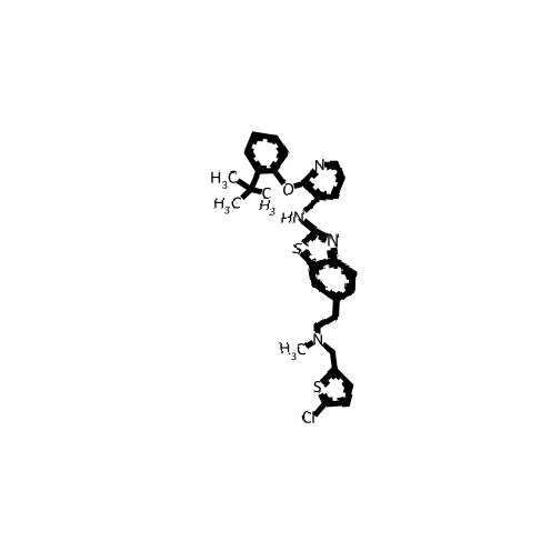 CN(CCc1ccc2nc(Nc3cccnc3Oc3ccccc3C(C)(C)C)sc2c1)Cc1ccc(Cl)s1